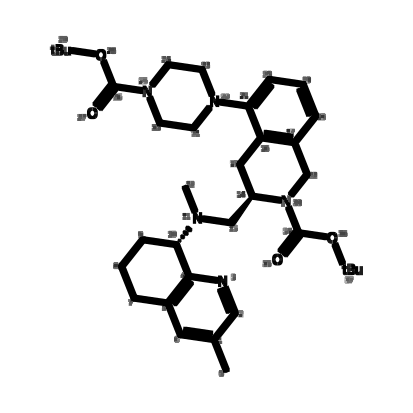 Cc1cnc2c(c1)CCC[C@@H]2N(C)C[C@H]1Cc2c(cccc2N2CCN(C(=O)OC(C)(C)C)CC2)CN1C(=O)OC(C)(C)C